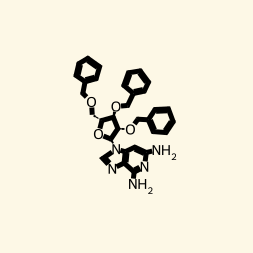 Nc1cc2c(ncn2[C@@H]2O[C@H](COCc3ccccc3)[C@@H](OCc3ccccc3)[C@@H]2OCc2ccccc2)c(N)n1